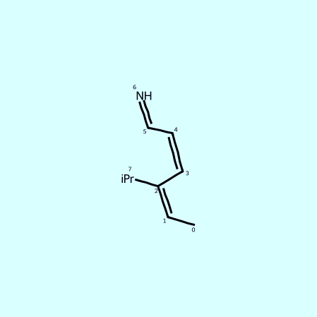 C/C=C(\C=C/C=N)C(C)C